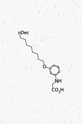 CCCCCCCCCCCCCCCCCCOc1cccc(NCC(=O)O)c1